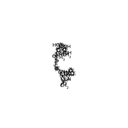 C=CC(=O)N1CCN(c2nc(OCC3CCN(CCCOCCC(=O)NCc4ccc(-n5c(O)nnc5-c5cc(C(C)C)c(O)cc5O)cc4)C3)nc3c2CCN(c2cccc4cccc(Cl)c24)C3)CC1CC#N